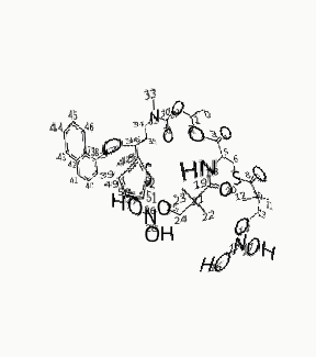 CC(OC(=O)C(CSC(=O)C(C)(C)CON(O)O)NC(=O)C(C)(C)CON(O)O)OC(=O)N(C)CC[C@H](Oc1cccc2ccccc12)c1cccs1